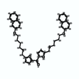 O=C(c1ccc(CSCCCCOc2ccc3ccccc3c2)o1)c1ccc(CSCCCCOc2ccc3ccccc3c2)o1